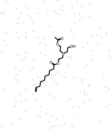 C=CCCCCCCCC(=O)OCCN(CCO)CCOC(C)=O